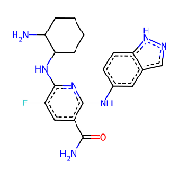 NC(=O)c1cc(F)c(NC2CCCCC2N)nc1Nc1ccc2[nH]ncc2c1